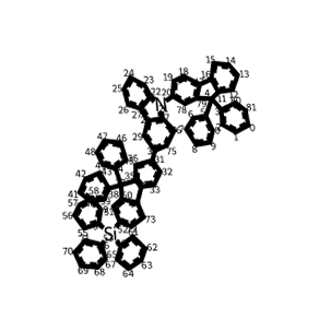 c1ccc(C2(c3ccccc3)c3ccccc3-c3ccc(-n4c5ccccc5c5cc(-c6ccc7c(c6)C(c6ccccc6)(c6ccccc6)c6cc([Si](c8ccccc8)(c8ccccc8)c8ccccc8)ccc6-7)ccc54)cc32)cc1